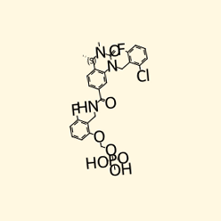 C[C@H]1c2ccc(C(=O)NCc3c(F)cccc3OCOP(=O)(O)O)cc2N(Cc2c(F)cccc2Cl)C(=O)N1C